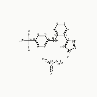 Cn1nnc(-c2ccccc2Nc2ccc(C(F)(F)F)cc2)n1.N[SH](=O)=O